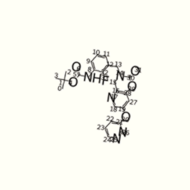 CC(C)(C)OC(=O)Nc1cccc(CN2Cc3ncc(Oc4cccnn4)cc3OC2=O)c1F